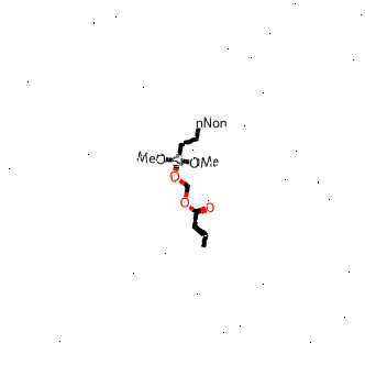 CC=CC(=O)OCO[Si](CCCCCCCCCCC)(OC)OC